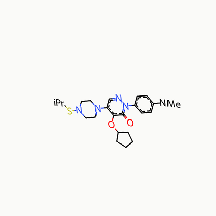 CNc1ccc(-n2ncc(N3CCN(SC(C)C)CC3)c(OC3CCCC3)c2=O)cc1